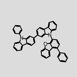 c1ccc(-c2ccc(-n3c4ccccc4c4ccc(-c5ccc6c7ccccc7n(-c7ccccc7)c6c5)cc43)c3oc4ccccc4c23)cc1